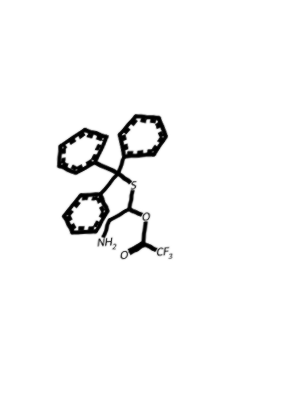 NCC(OC(=O)C(F)(F)F)SC(c1ccccc1)(c1ccccc1)c1ccccc1